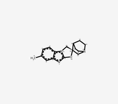 Cc1ccc2c(c1)nc1n2C[C@@]2(CN3CCC2CC3)O1